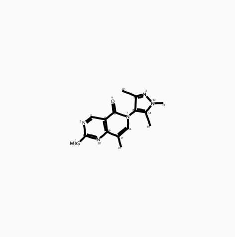 CSc1ncc2c(=O)n(-c3c(C)nn(C)c3C)cc(C)c2n1